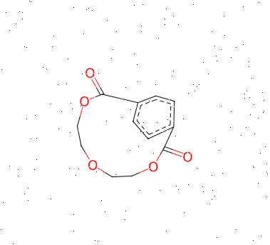 O=C1OCCOCCOC(=O)c2ccc1cc2